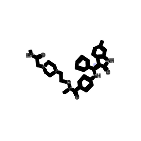 CNC(=O)CN1CCN(CCON(C)C(=O)c2ccc(N/C(=C3\C(=O)Nc4cc(C)ccc43)c3ccccc3)cc2)CC1